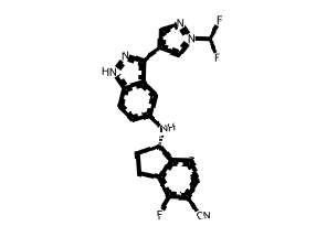 N#Cc1ccc2c(c1F)CC[C@@H]2Nc1ccc2[nH]nc(-c3cnn(C(F)F)c3)c2c1